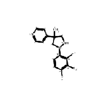 CC1(c2ccncc2)CNN(c2ccc(F)c(F)c2F)C1